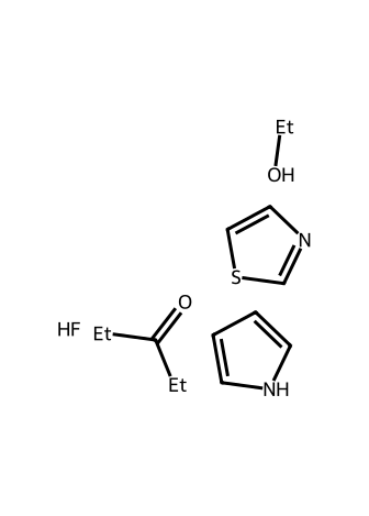 CCC(=O)CC.CCO.F.c1cc[nH]c1.c1cscn1